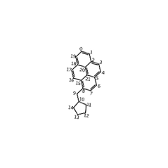 c1cc2ccc3ccc(CC4CCCC4)c4ccc(c1)c2c34